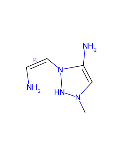 CN1C=C(N)N(/C=C\N)N1